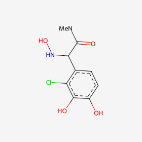 CNC(=O)C(NO)c1ccc(O)c(O)c1Cl